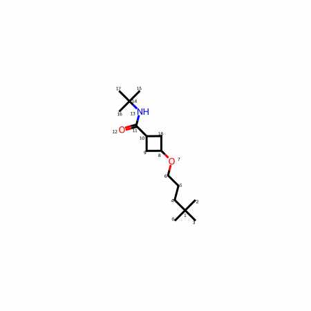 CC(C)(C)CCCOC1CC(C(=O)NC(C)(C)C)C1